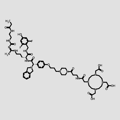 CCC(=O)NCCNC(=O)/N=C(/N)NCCC[C@@H](NC(=O)[C@H](c1ccc(OCCCN2CCN(C(=O)CCNC(=O)CN3CCN(CC(=O)O)CCN(CC(=O)O)CCN(CC(=O)O)CC3)CC2)cc1)N1Cc2ccccc2C1)C(=O)NCc1c(F)cc(O)cc1F